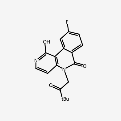 CC(C)(C)C(=O)Cn1c(=O)c2ccc(F)cc2c2c(O)nccc21